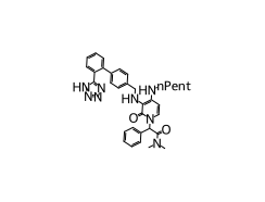 CCCCCNc1ccn(C(C(=O)N(C)C)c2ccccc2)c(=O)c1NCc1ccc(-c2ccccc2-c2nnn[nH]2)cc1